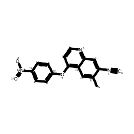 [C-]#[N+]c1cc2nccc(Oc3ccc([N+](=O)[O-])cc3)c2cc1C